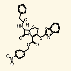 O=C(Cc1ccccc1)NC1C(=O)N2C(C(=O)OCc3ccc([N+](=O)[O-])cc3)=C(Sc3nc4ccccc4s3)CS[C@H]12